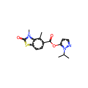 Cc1c(C(=O)Oc2ccnn2C(C)C)ccc2sc(=O)n(C)c12